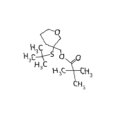 CC(C)(C)SC1(COC(=O)C(C)(C)C)CCCOC1